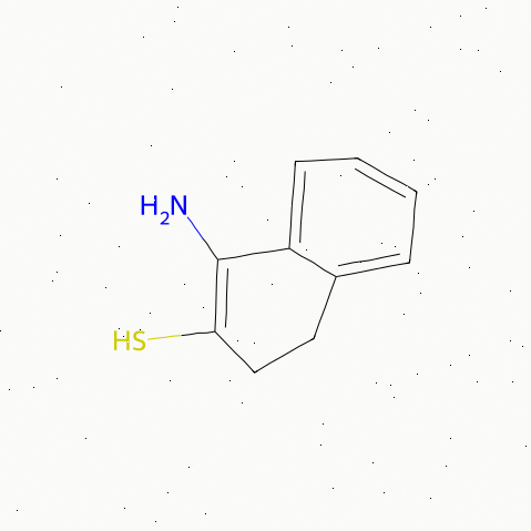 NC1=C(S)CCc2ccccc21